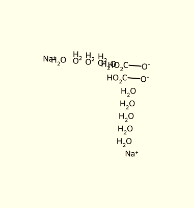 O.O.O.O.O.O.O.O.O.O.O=C([O-])O.O=C([O-])O.[Na+].[Na+]